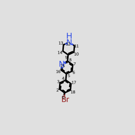 Brc1ccc(-c2ccc(C3=CCNCC3)nc2)cc1